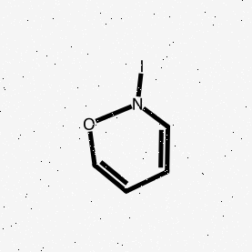 IN1C=CC=CO1